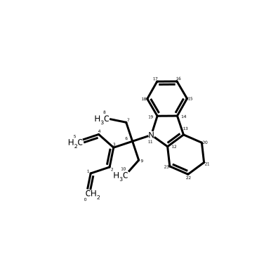 C=C/C=C(\C=C)C(CC)(CC)n1c2c(c3ccccc31)CCC=C2